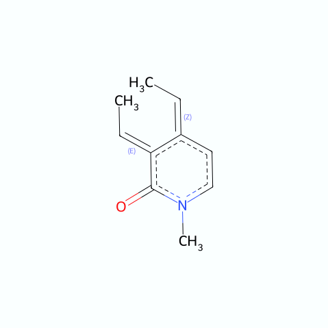 C/C=c1/ccn(C)c(=O)/c1=C/C